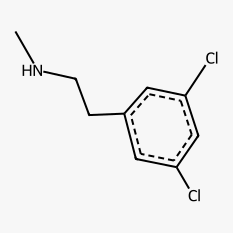 CNCCc1cc(Cl)cc(Cl)c1